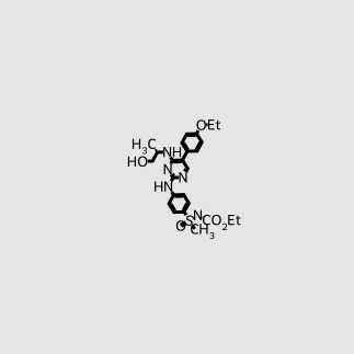 CCOC(=O)N=S(C)(=O)c1ccc(Nc2ncc(-c3ccc(OCC)cc3)c(N[C@H](C)CO)n2)cc1